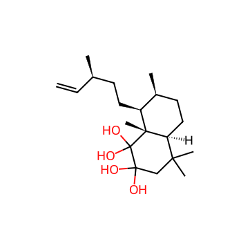 C=C[C@@H](C)CC[C@H]1[C@@H](C)CC[C@H]2C(C)(C)CC(O)(O)C(O)(O)[C@]12C